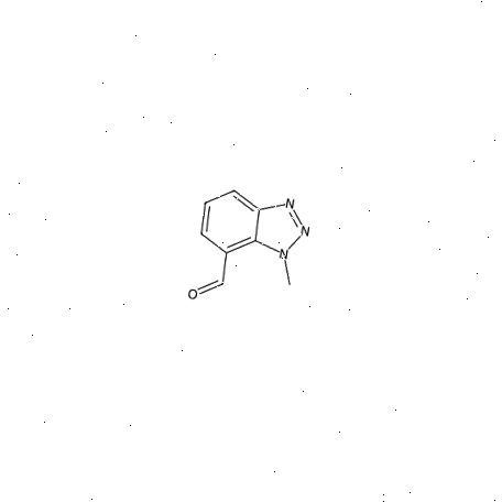 Cn1nnc2cccc(C=O)c21